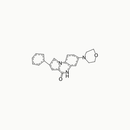 O=c1[nH]c2cc(N3CCOCC3)ccc2n2cc(-c3ccccc3)cc12